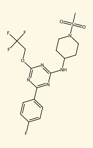 CS(=O)(=O)N1CCC(Nc2nc(OCC(F)(F)F)nc(-c3ccc(F)cc3)n2)CC1